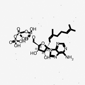 CC(C)=CCCC(C)=CC[C@@]1(n2cnc3c(N)ncnc32)O[C@H](COP(=O)(O)OP(=O)(O)OP(=O)(O)O)[C@@H](O)[C@H]1O